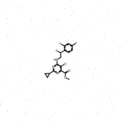 COC(=O)c1nc(C2CC2)nc(NCC(F)c2ccc(F)cc2F)c1Cl